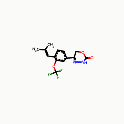 CC(C)=Cc1ccc(C2=NNC(=O)OC2)cc1OC(F)(F)F